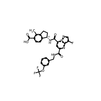 Cc1c(C(=O)O)ccc2c1CC[C@@H]2NC(=O)c1cc(C(=O)NCc2cccc(OC(F)(F)F)c2)nc2c(F)cnn12